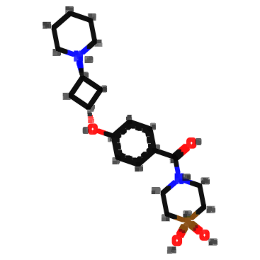 O=C(c1ccc(O[C@H]2C[C@H](N3CCCCC3)C2)cc1)N1CCS(=O)(=O)CC1